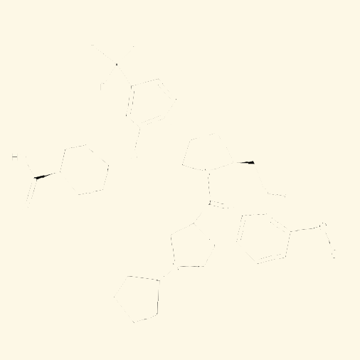 COC[C@@H]1C[C@@H](c2ccc(C(F)(F)F)cc2O[C@H]2CC[C@H](C(=O)O)CC2)CN1C(=O)[C@]1(F)CN(C2CCCC2)C[C@H]1c1ccc(OC)cc1